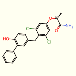 C[C@H](Oc1cc(Cl)c(Cc2ccc(O)c(-c3ccccc3)c2)c(Cl)c1)C(N)=O